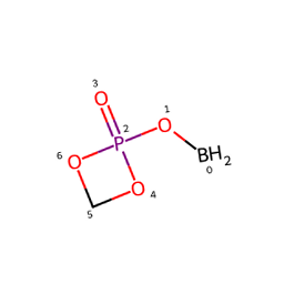 BOP1(=O)OCO1